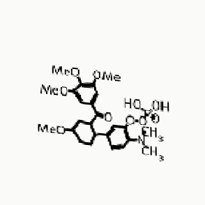 COc1cc(C(=O)C2CC(OC)CCC2c2ccc(N(C)C)c(OOP(=O)(O)O)c2)cc(OC)c1OC